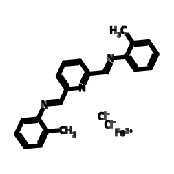 Cc1ccccc1N=Cc1cccc(C=Nc2ccccc2C)n1.[Cl-].[Cl-].[Fe+2]